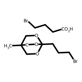 CC12COC(CCCBr)(OC1)OC2.O=C(O)CCCBr